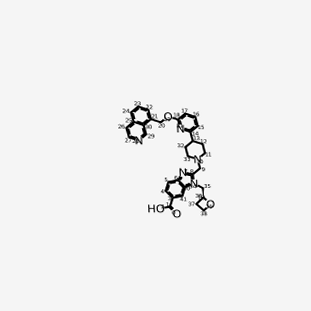 O=C(O)c1ccc2nc(CN3CCC(c4cccc(OCc5cccc6ccncc56)n4)CC3)n(C[C@@H]3CCO3)c2c1